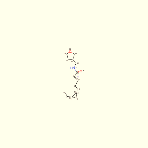 CC[C@@H]1C[C@H]1CC/C=C/C(=O)NCC1CCOC1